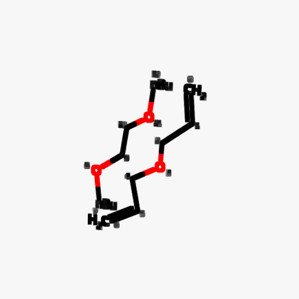 C=CCOCC=C.CCCCOCCOCCCC